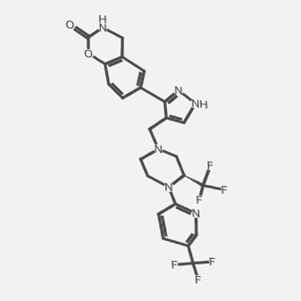 O=C1NCc2cc(-c3n[nH]cc3CN3CCN(c4ccc(C(F)(F)F)cn4)[C@H](C(F)(F)F)C3)ccc2O1